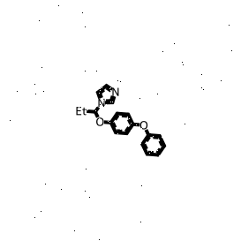 CCC(Oc1ccc(Oc2ccccc2)cc1)n1ccnc1